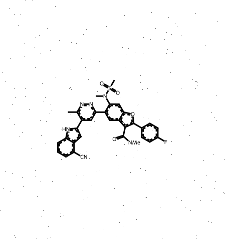 CNC(=O)c1c(-c2ccc(F)cc2)oc2cc(N(C)S(C)(=O)=O)c(-c3cc(-c4cc5c(C#N)cccc5[nH]4)c(C)nn3)cc12